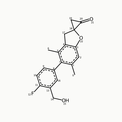 Cc1cc2c(c(C)c1-c1ccc(F)c(CO)c1)CC1(CC1=O)O2